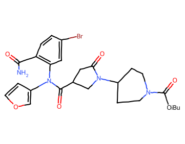 CC(C)COC(=O)N1CCC(N2CC(C(=O)N(c3ccoc3)c3cc(Br)ccc3C(N)=O)CC2=O)CC1